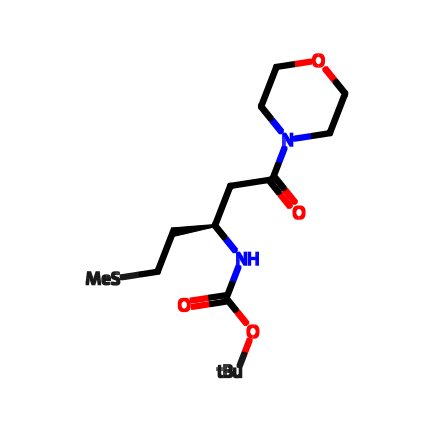 CSCC[C@@H](CC(=O)N1CCOCC1)NC(=O)OC(C)(C)C